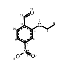 CCOc1cc([N+](=O)[O-])ccc1C=O